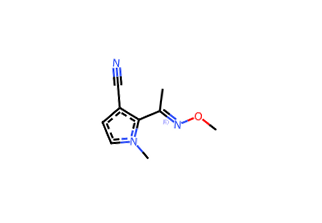 CO/N=C(\C)c1c(C#N)ccn1C